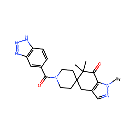 CC(C)n1ncc2c1C(=O)C(C)(C)C1(CCN(C(=O)c3ccc4[nH]nnc4c3)CC1)C2